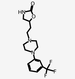 O=C1NCC(CCN2CCN(c3cccc(C(F)(F)F)c3)CC2)O1